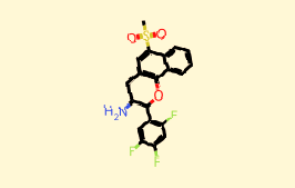 CS(=O)(=O)c1cc2c(c3ccccc13)OC(c1cc(F)c(F)cc1F)C(N)C2